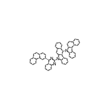 c1ccc2c(-n3c4ccccc4c4c5ccccc5ccc43)c3c4ccccc4n(-c4nc(-c5ccc6ccc7ccccc7c6c5)c5ccccc5n4)c3cc2c1